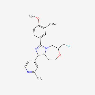 COc1cc(-c2nc(-c3ccnc(C)c3)c3n2CC(CF)OCC3)ccc1OC(F)(F)F